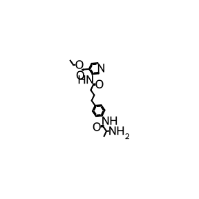 CCOC(=O)c1ccncc1NC(=O)CCCc1ccc(NC(=O)C(C)N)cc1